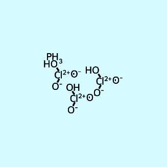 P.[O-][Cl+2]([O-])O.[O-][Cl+2]([O-])O.[O-][Cl+2]([O-])O